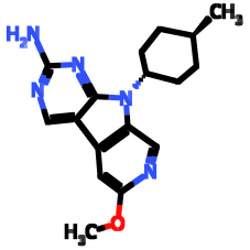 COc1cc2c3cnc(N)nc3n([C@H]3CC[C@H](C)CC3)c2cn1